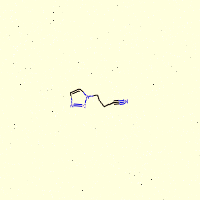 N#CCCn1ccnn1